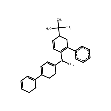 CN(C1=CC=C(C2=CC=CCC2)CC1)C1=C(c2ccccc2)CC(C(C)(C)C)C=C1